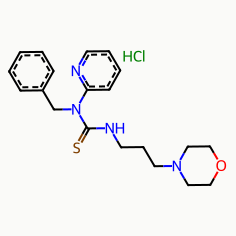 Cl.S=C(NCCCN1CCOCC1)N(Cc1ccccc1)c1ccccn1